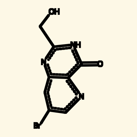 O=c1[nH]c(CO)nc2cc(Br)cnc12